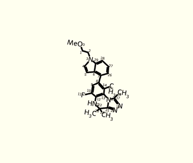 COCCn1ccc2c(-c3cc(F)c4c(c3C)-n3c(C)nnc3C(C)(C)N4)cccc21